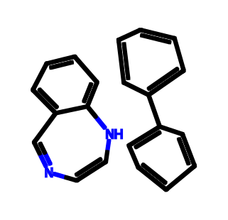 C1=CNc2ccccc2C=N1.c1ccc(-c2ccccc2)cc1